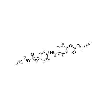 C#CCOC(=O)Oc1ccc(C=Nc2ccc(OC(=O)OCC#C)cc2)cc1